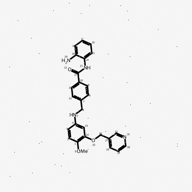 COc1ccc(NCc2ccc(C(=O)Nc3ccccc3N)cc2)cc1OCc1cccnc1